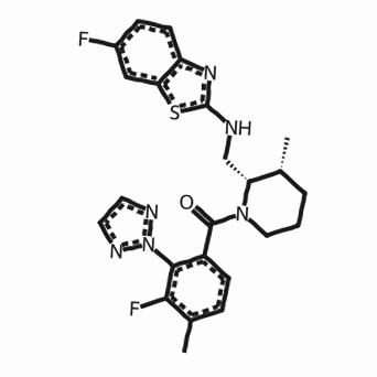 Cc1ccc(C(=O)N2CCC[C@@H](C)[C@H]2CNc2nc3ccc(F)cc3s2)c(-n2nccn2)c1F